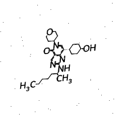 CCCCC[C@H](C)Nc1ncc2c(=O)n(C3CCOCC3)cc([C@H]3CC[C@H](O)CC3)c2n1